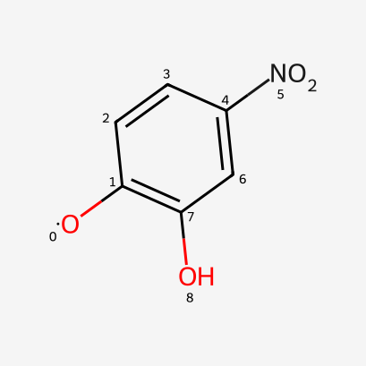 [O]c1ccc([N+](=O)[O-])cc1O